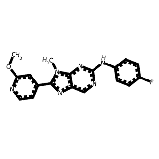 COc1cc(-c2nc3cnc(Nc4ccc(F)cc4)nc3n2C)ccn1